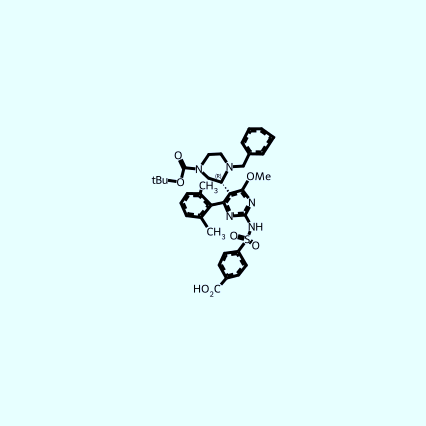 COc1nc(NS(=O)(=O)c2ccc(C(=O)O)cc2)nc(-c2c(C)cccc2C)c1[C@@H]1CN(C(=O)OC(C)(C)C)CCN1Cc1ccccc1